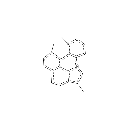 Cc1cn2c3ccc[n+](C)c3c3c(C)ccc4ccc1c2c43